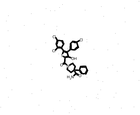 NC(=O)C1(c2ccccc2)CCN(C(=O)c2sc(-c3ccc(Cl)cc3Cl)c(-c3ccc(Cl)cc3)c2O)CC1